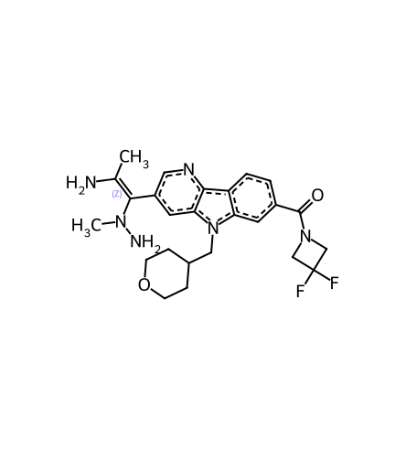 C/C(N)=C(\c1cnc2c3ccc(C(=O)N4CC(F)(F)C4)cc3n(CC3CCOCC3)c2c1)N(C)N